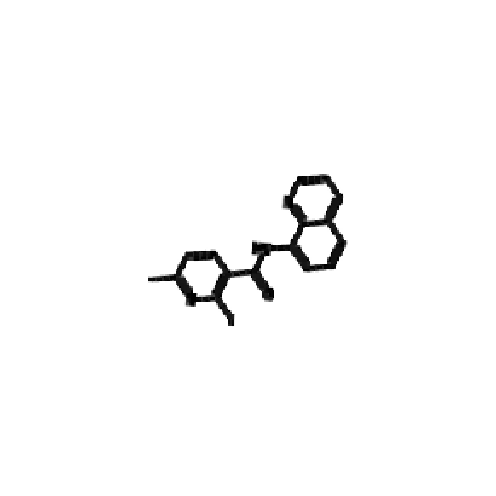 Cc1ccc(C(=O)Nc2cccc3cccnc23)c(I)n1